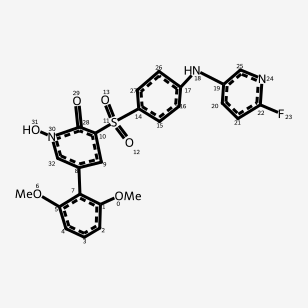 COc1cccc(OC)c1-c1cc(S(=O)(=O)c2ccc(Nc3ccc(F)nc3)cc2)c(=O)n(O)c1